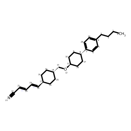 CCCCc1ccc([C@H]2CC[C@H](OC[C@H]3CC[C@H](/C=C/C=C/C#N)CC3)CC2)cc1